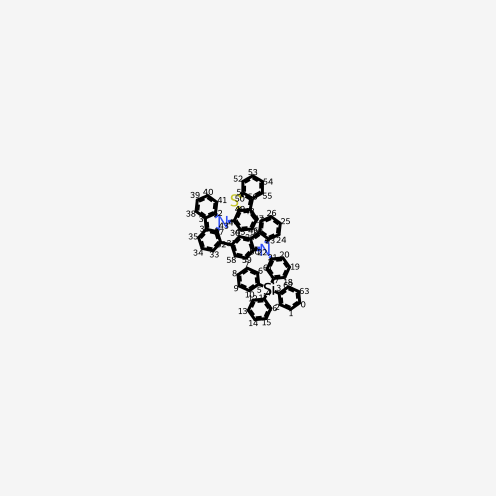 c1ccc([Si](c2ccccc2)(c2ccccc2)c2cccc(-n3c4ccccc4c4cc(-c5cccc6c7ccccc7n(-c7cccc8c7sc7ccccc78)c56)ccc43)c2)cc1